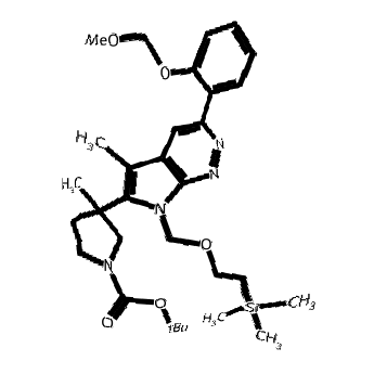 COCOc1ccccc1-c1cc2c(C)c(C3(C)CCN(C(=O)OC(C)(C)C)C3)n(COCC[Si](C)(C)C)c2nn1